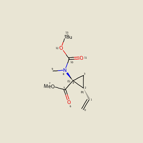 C=C[C@H]1C[C@]1(C(=O)OC)N(C)C(=O)OC(C)(C)C